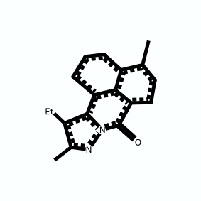 CCc1c(C)nn2c(=O)c3ccc(C)c4cccc(c43)c12